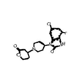 O=C1CC(N2CCC(n3c(=O)[nH]c4c(F)cc(Cl)cc43)CC2)CCO1